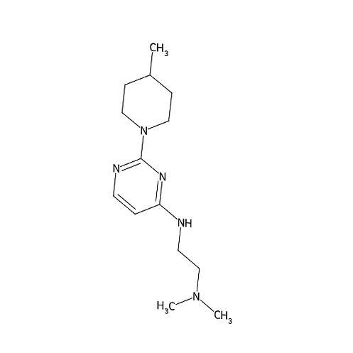 CC1CCN(c2nccc(NCCN(C)C)n2)CC1